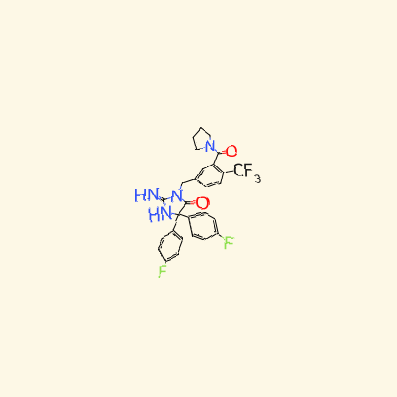 N=C1NC(c2ccc(F)cc2)(c2ccc(F)cc2)C(=O)N1Cc1ccc(C(F)(F)F)c(C(=O)N2CCCC2)c1